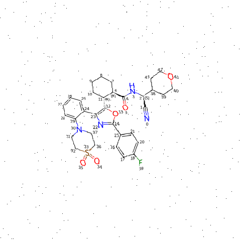 N#C[C@@H](NC(=O)[C@@H]1CCCC[C@H]1c1oc(-c2ccc(F)cc2)nc1-c1ccccc1N1CCS(=O)(=O)CC1)C1CCOCC1